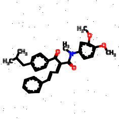 COc1ccc(N(C)C(=O)C(=CC=Cc2ccccc2)C(=O)c2ccc(CC(C)C)cc2)cc1OC